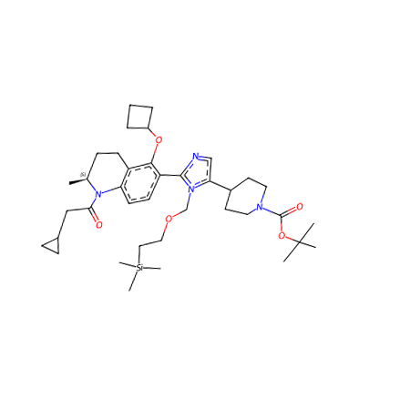 C[C@H]1CCc2c(ccc(-c3ncc(C4CCN(C(=O)OC(C)(C)C)CC4)n3COCC[Si](C)(C)C)c2OC2CCC2)N1C(=O)CC1CC1